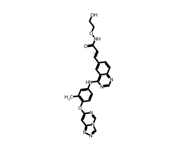 Cc1cc(Nc2ncnc3ccc(/C=C/C(=O)NOCCO)cc23)ccc1Oc1cc2nncn2cn1